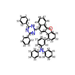 c1ccc(-c2nc(-c3ccccc3)nc(-c3cc4c(oc5cccc(-c6cccc(N(c7ccccc7)c7ccccc7)c6)c54)c4ccccc34)n2)cc1